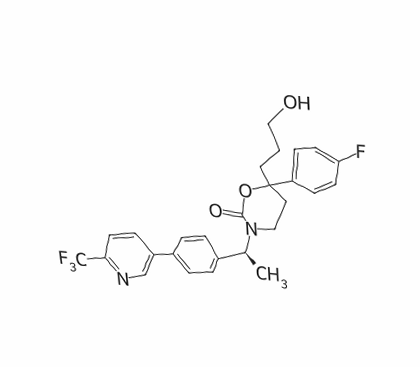 C[C@@H](c1ccc(-c2ccc(C(F)(F)F)nc2)cc1)N1CCC(CCCO)(c2ccc(F)cc2)OC1=O